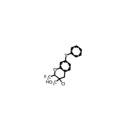 O=C(O)C1(Cl)Cc2ccc(Sc3ccccc3)cc2OC1C(F)(F)F